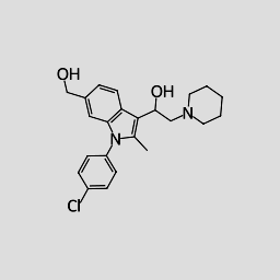 Cc1c(C(O)CN2CCCCC2)c2ccc(CO)cc2n1-c1ccc(Cl)cc1